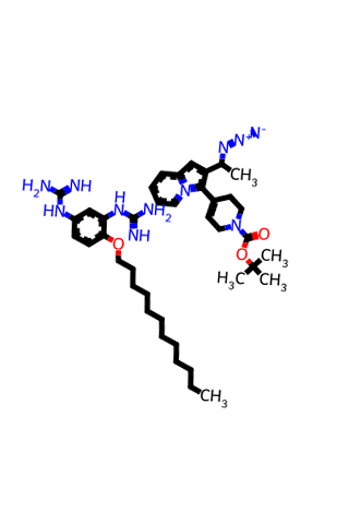 CC(N=[N+]=[N-])c1cc2ccccn2c1C1=CCN(C(=O)OC(C)(C)C)CC1.CCCCCCCCCCCCOc1ccc(NC(=N)N)cc1NC(=N)N